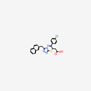 O=C(O)CC1Sc2nnc(Cc3ccc4ccccc4c3)n2N=C1c1ccc(Cl)cc1